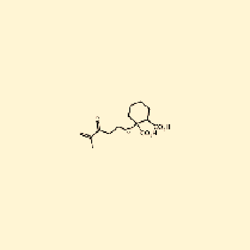 C=C(C)C(=O)CCOC1(C(=O)O)CCCCC1C(=O)O